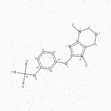 CN1COCc2c1nc(Oc1cccc(OC(F)(F)F)c1)n2C